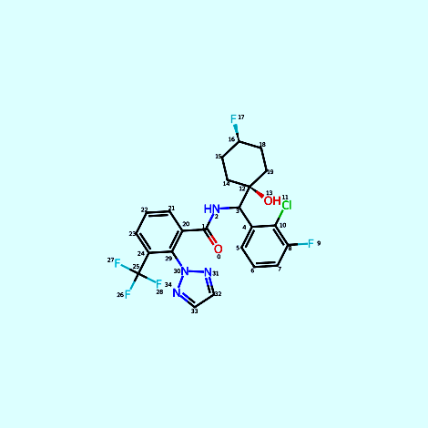 O=C(NC(c1cccc(F)c1Cl)[C@]1(O)CC[C@@H](F)CC1)c1cccc(C(F)(F)F)c1-n1nccn1